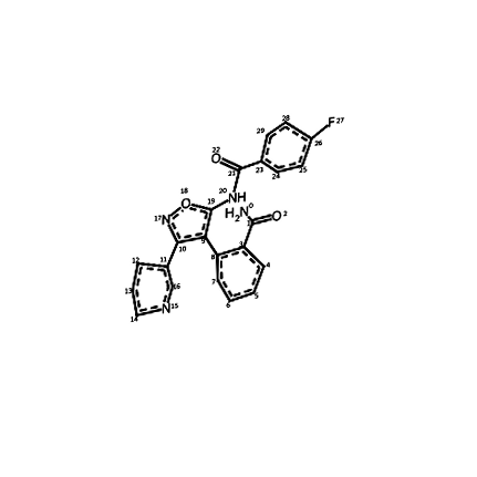 NC(=O)c1ccccc1-c1c(-c2cccnc2)noc1NC(=O)c1ccc(F)cc1